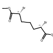 COC(=O)[C@H](Br)CCC[C@H](Br)C(=O)OC